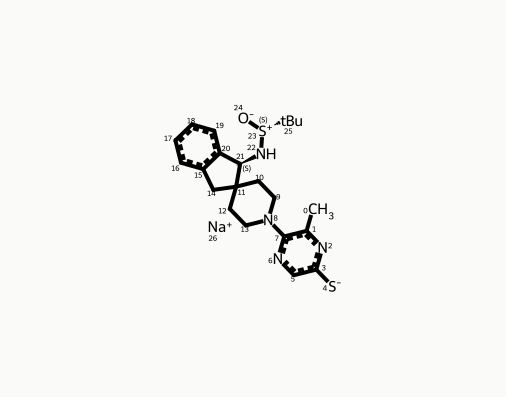 Cc1nc([S-])cnc1N1CCC2(CC1)Cc1ccccc1[C@H]2N[S@+]([O-])C(C)(C)C.[Na+]